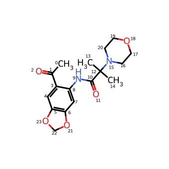 CC(=O)c1cc2c(cc1NC(=O)C(C)(C)N1CCOCC1)OCO2